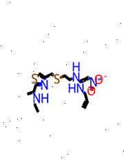 C#CCNC(=C[N+](=O)[O-])NCCSCc1csc(C(C)NCC)n1